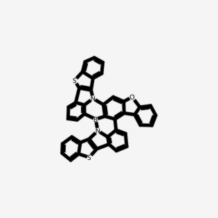 c1ccc2c(c1)oc1cc3c4c(c12)-c1cccc2c5sc6ccccc6c5n(c12)B4c1cccc2c4sc5ccccc5c4n-3c12